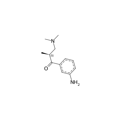 C[C@@H](CN(C)C)C(=O)c1cccc(N)c1